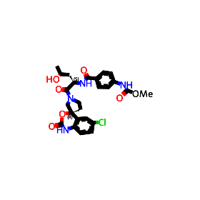 COC(=O)Nc1ccc(C(=O)N[C@@H](CC(C)O)C(=O)N2CC[C@@]3(C2)OC(=O)Nc2ccc(Cl)cc23)cc1